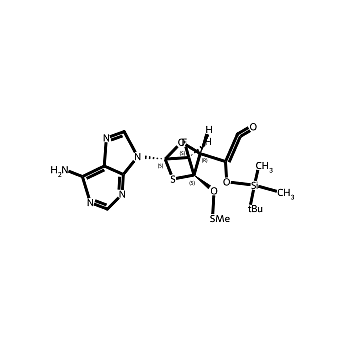 CSO[C@]12S[C@@](n3cnc4c(N)ncnc43)(O[C@@H]1C(=C=O)O[Si](C)(C)C(C)(C)C)[C@H]2F